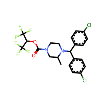 CC1CN(C(=O)OC(C(F)(F)F)C(F)(F)F)CCN1C(c1ccc(Cl)cc1)c1ccc(Cl)cc1